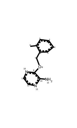 Cc1ccccc1COc1nccnc1N